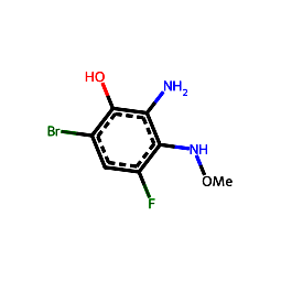 CONc1c(F)cc(Br)c(O)c1N